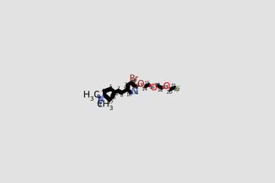 CN(C)c1ccc(/C=C/c2cnc(OCCOCCOCCF)c(Br)c2)cc1